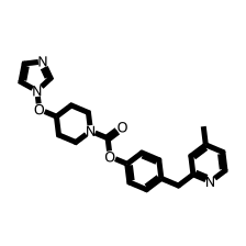 Cc1ccnc(Cc2ccc(OC(=O)N3CCC(On4ccnc4)CC3)cc2)c1